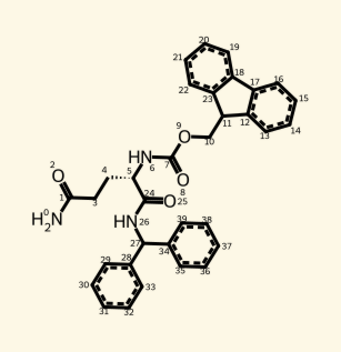 NC(=O)CC[C@H](NC(=O)OCC1c2ccccc2-c2ccccc21)C(=O)NC(c1ccccc1)c1ccccc1